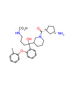 Cc1ccccc1Oc1ccccc1C(O)(CCCNC(=O)O)C1CCCN(C(=O)[C@@H]2CC[C@H](N)C2)C1